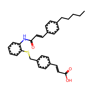 CCCCCc1ccc(/C=C/C(=O)Nc2ccccc2SCc2ccc(/C=C/C(=O)O)cc2)cc1